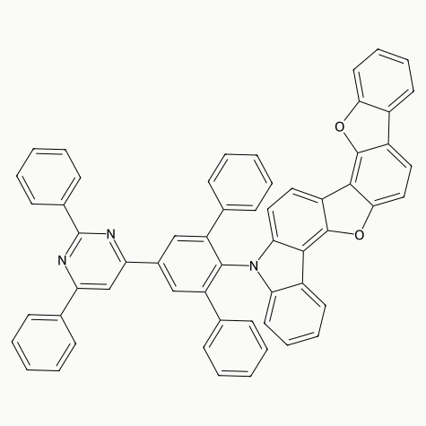 c1ccc(-c2cc(-c3cc(-c4ccccc4)c(-n4c5ccccc5c5c6oc7ccc8c9ccccc9oc8c7c6ccc54)c(-c4ccccc4)c3)nc(-c3ccccc3)n2)cc1